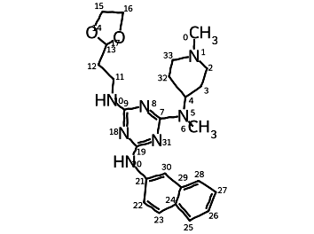 CN1CCC(N(C)c2nc(NCCC3OCCO3)nc(Nc3ccc4ccccc4c3)n2)CC1